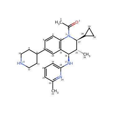 CC(=O)N1c2ccc(C3CCNCC3)cc2[C@H](Nc2cccc(C)n2)[C@@H](C)[C@@H]1C1CC1